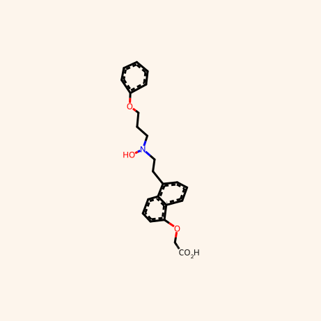 O=C(O)COc1cccc2c(CCN(O)CCCOc3ccccc3)cccc12